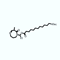 CCCCCCCCCCCCCCCCCCCCCC(=O)OC(CC)N1CCC/N=C\C(C)C1=O